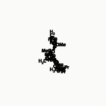 C=C1C[C@H]2C=Nc3cc(OCCCOc4cc5c(cc4OC)C(=O)N4CC(=C)C[C@H]4[C@H](O)N5C(=O)OCc4ccc(NC(=O)[C@H](C)NC(=O)[C@@H](NC(=O)C(C)C)C(C)C)cc4)c(OC)cc3C(=O)N2C1